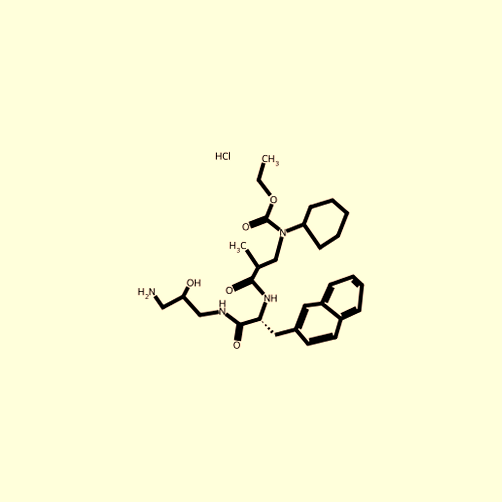 CCOC(=O)N(CC(C)C(=O)N[C@H](Cc1ccc2ccccc2c1)C(=O)NCC(O)CN)C1CCCCC1.Cl